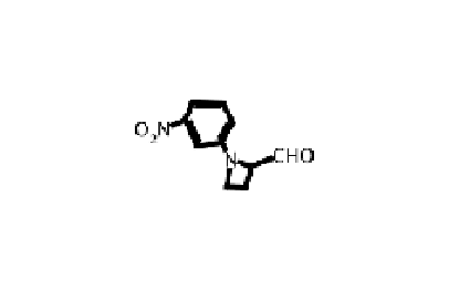 O=CC1CCN1c1cccc([N+](=O)[O-])c1